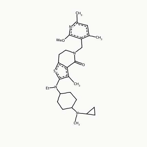 CCN(c1sc2c(c1C)C(=O)N(Cc1c(C)cc(C)nc1OC)CC2)C1CCC(N(C)C2CC2)CC1